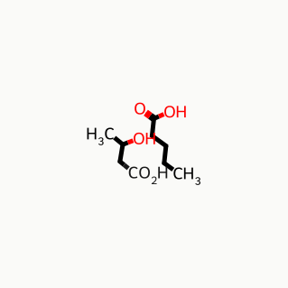 CC(O)CC(=O)O.CCCCC(=O)O